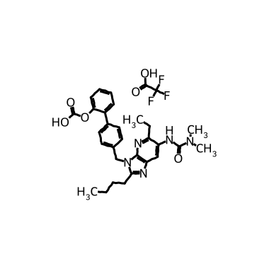 CCCCc1nc2cc(NC(=O)N(C)C)c(CC)nc2n1Cc1ccc(-c2ccccc2OC(=O)O)cc1.O=C(O)C(F)(F)F